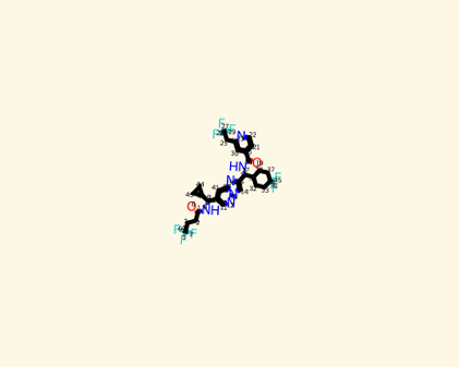 O=C(CCC(F)(F)F)NC(c1cnn2cc([C@@H](NC(=O)c3ccnc(CC(F)(F)F)c3)C3CCC(F)(F)CC3)nc2c1)C1CC1